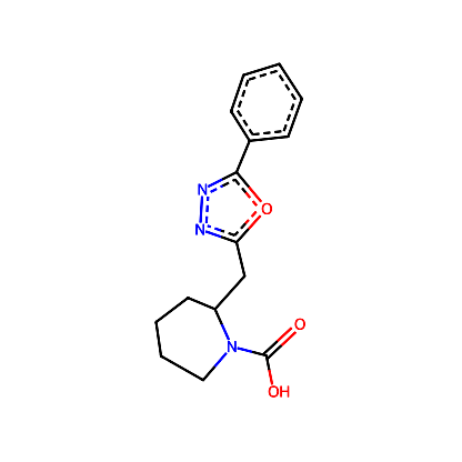 O=C(O)N1CCCCC1Cc1nnc(-c2ccccc2)o1